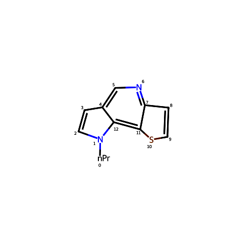 CCCn1ccc2cnc3ccsc3c21